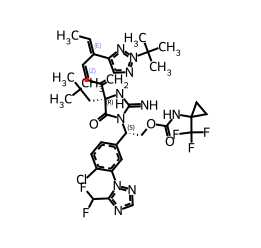 C=C(/C=C\C(=C/C)c1cnn(C(C)(C)C)n1)[C@@]1(CC(C)(C)C)NC(=N)N([C@H](COC(=O)NC2(C(F)(F)F)CC2)c2ccc(Cl)c(-n3ncnc3C(F)F)c2)C1=O